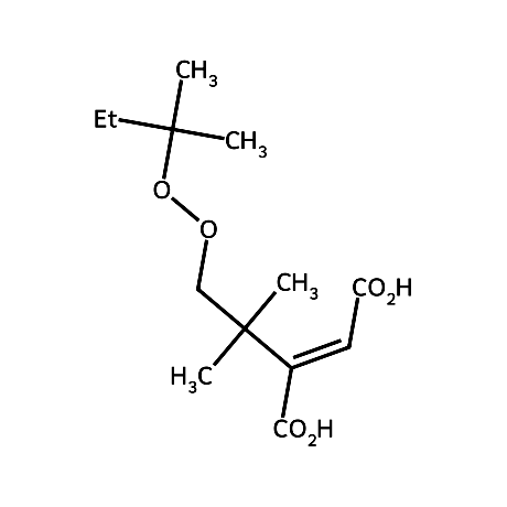 CCC(C)(C)OOCC(C)(C)/C(=C\C(=O)O)C(=O)O